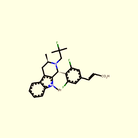 CC(C)n1c2c(c3ccccc31)C[C@@H](C)N(CC(C)(C)F)[C@@H]2c1c(F)cc(/C=C/C(=O)O)cc1F